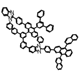 c1ccc(-c2cc(-c3ccccc3)cc(-c3c4ccccc4c(-c4cc(-c5ccccc5)cc(-c5cccc(-c6ccc7nc(-c8ccc(-c9ccc%10c(-c%11ccc%12ccccc%12c%11)c%11ccccc%11c(-c%11ccc%12ccccc%12c%11)c%10c9)cc8)n(-c8ccccc8)c7c6)c5)c4)c4cc(-c5ccc(-c6nc7ccccc7n6-c6ccccc6)cc5)ccc34)c2)cc1